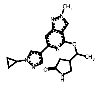 CC(Oc1nc(-c2cnn(C3CC3)c2)cc2nn(C)cc12)C1CNC(=O)C1